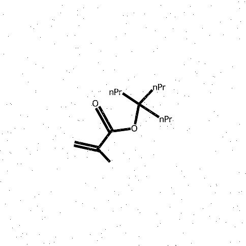 C=C(C)C(=O)OC(CCC)(CCC)CCC